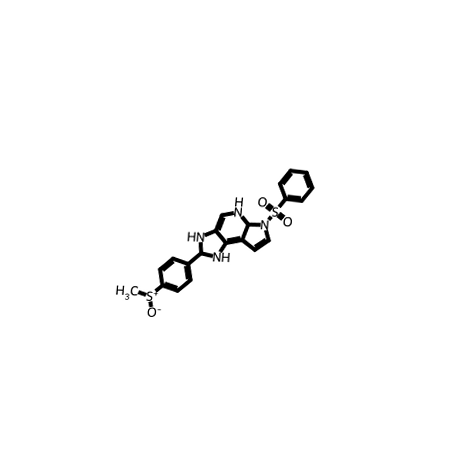 C[S+]([O-])c1ccc(C2NC3=CNC4C(=C3N2)C=CN4S(=O)(=O)c2ccccc2)cc1